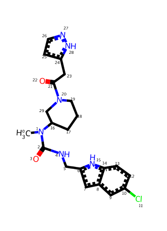 CN(C(=O)NCc1cc2cc(Cl)ccc2[nH]1)C1CCCN(C(=O)Cc2ccn[nH]2)C1